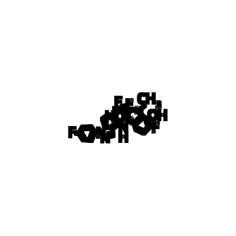 CC[C@@H]1C[C@](O)(C(F)(F)F)[C@@H](Nc2cccc3c2cnn3-c2ccc(F)cc2)c2ccc(F)c(O)c21